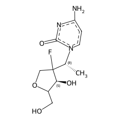 C[C@@H](n1ccc(N)nc1=O)C1(F)COC(CO)[C@@H]1O